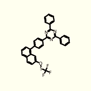 FC(F)(F)SOc1ccc2cccc(-c3ccc(-c4nc(-c5ccccc5)nc(-c5ccccc5)n4)cc3)c2c1